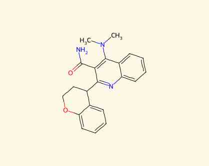 CN(C)c1c(C(N)=O)c(C2CCOc3ccccc32)nc2ccccc12